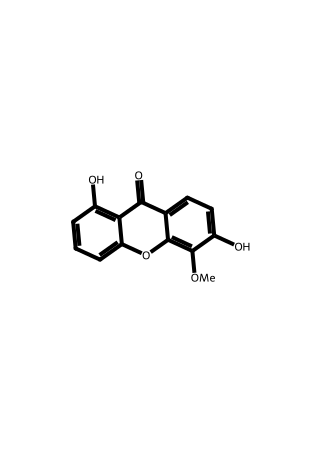 COc1c(O)ccc2c(=O)c3c(O)cccc3oc12